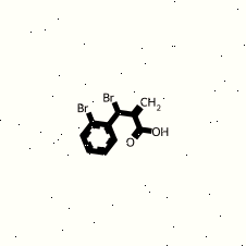 C=C(C(=O)O)C(Br)c1ccccc1Br